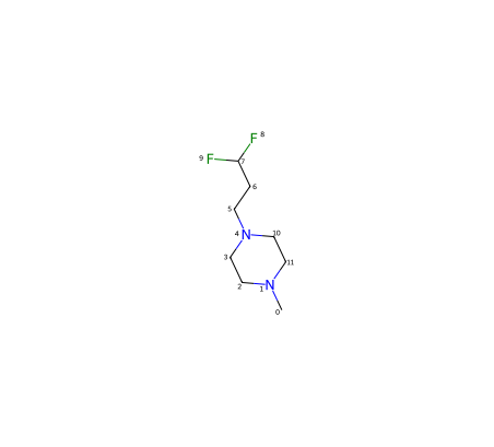 CN1CCN(CCC(F)F)CC1